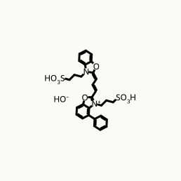 O=S(=O)(O)CCCN1C(=CC=Cc2oc3cccc(-c4ccccc4)c3[n+]2CCCS(=O)(=O)O)Oc2ccccc21.[OH-]